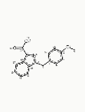 COc1ccc(Cn2nc(C(=O)O)c3ccccc32)cc1